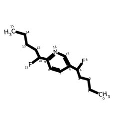 CCCCC(F)c1ccc(C(F)CCCC)nc1